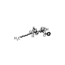 C#CC(CCn1cnc2c(NC(=O)CCCCCCCCC)nc(F)nc21)(COC(=O)c1ccccc1)OC